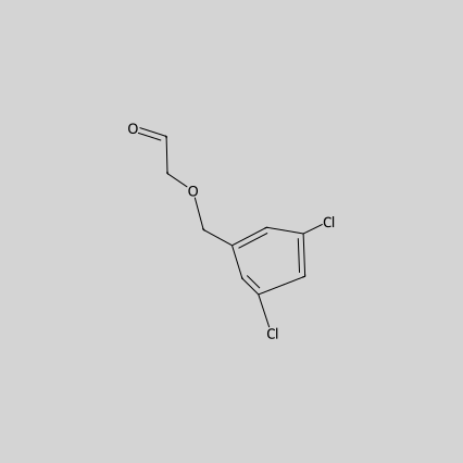 O=CCOCc1cc(Cl)cc(Cl)c1